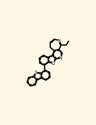 CCC1=NC=CCc2c1cnc1oc3c(-c4cccc5c4sc4ccccc45)cccc3c21